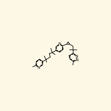 Cc1ccc(C(C)(C)CCC(C)(C)c2ccc(C3CC3CC(C)(C)c3ccc(C)nn3)nc2)cn1